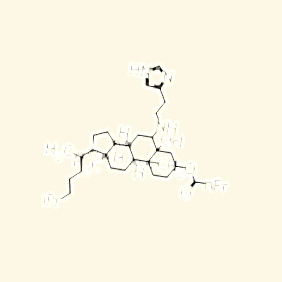 CCCC(=O)OC1CC[C@]2(C)[C@H]3CC[C@]4(C)[C@@H]([C@H](C)CCCC(C)C)CC[C@H]4[C@@H]3CC(NCCc3c[nH]cn3)C2(O)C1